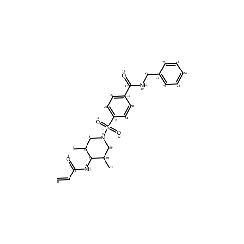 C=CC(=O)NC1C(C)CN(S(=O)(=O)c2ccc(C(=O)NCc3ccccc3)cc2)CC1C